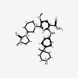 COc1cc(C(N)=O)c(Nc2ccc(C3(C)CCNCC3)cc2)nc1N1CCCC(N2CCN(C)C2=O)C1